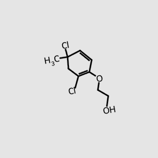 CC1(Cl)C=CC(OCCO)=C(Cl)C1